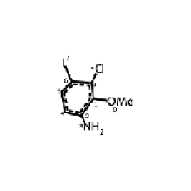 COc1c(N)ccc(I)c1Cl